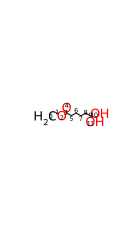 C=COC(=O)CCCCC(O)O